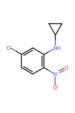 O=[N+]([O-])c1ccc(Cl)cc1NC1CC1